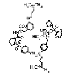 CN(C)CCCOc1ccc(C[C@H](NC(=O)[C@@H]2CCCN2S(=O)(=O)c2nccs2)C(=O)O)cc1.Cc1ccc(S(=O)(=O)N2CCC[C@H]2C(=O)N[C@@H](Cc2cccc(OCCCN(C)C)c2)C(=O)O)cc1